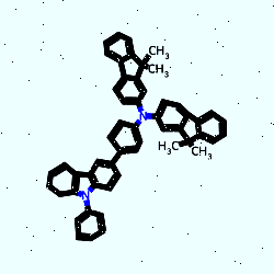 CC1(C)c2ccccc2-c2ccc(N(c3ccc(-c4ccc5c(c4)c4c(n5-c5ccccc5)CCC=C4)cc3)c3ccc4c(c3)C(C)(C)c3ccccc3-4)cc21